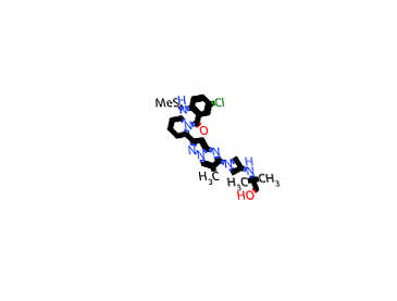 CSNc1ccc(Cl)cc1C(=O)N1CCCCC1c1cc2nc(N3CC(NC(C)(C)CO)C3)c(C)cn2n1